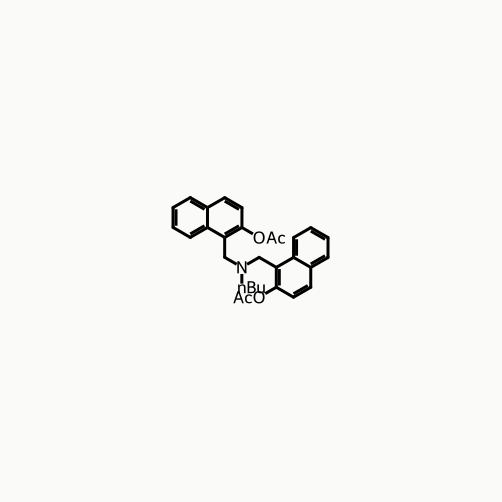 CCCCN(Cc1c(OC(C)=O)ccc2ccccc12)Cc1c(OC(C)=O)ccc2ccccc12